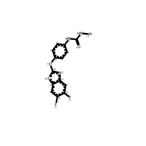 CC(C)NC(=O)Nc1ccc(Oc2nc3cc(F)c(F)cc3s2)cc1